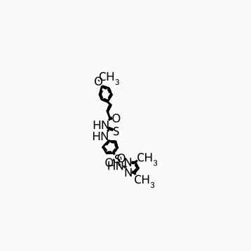 COc1ccc(/C=C/C(=O)NC(=S)Nc2ccc(S(=O)(=O)Nc3nc(C)cc(C)n3)cc2)cc1